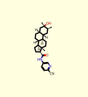 C[C@H]1C[C@H]2[C@H](CC[C@@H]3[C@@H]2CC[C@]2(C)[C@@H](C(=O)Nc4ccc(C#N)nc4)CC[C@@H]32)C[C@]1(C)O